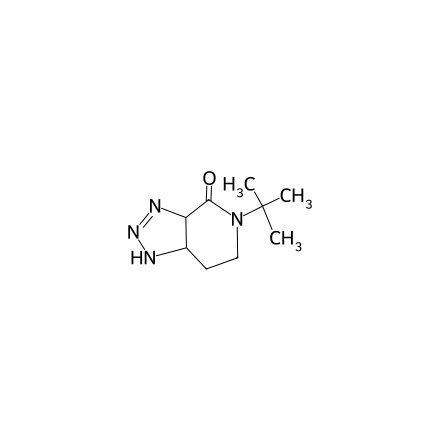 CC(C)(C)N1CCC2NN=NC2C1=O